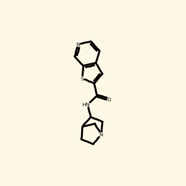 O=C(NC1CN2CCC1C2)c1cc2ccncc2s1